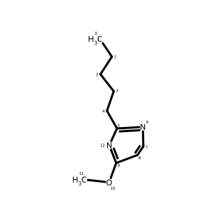 CCCCCc1nccc(OC)n1